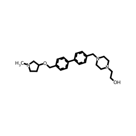 CN1CCC(OCc2ccc(-c3ccc(CN4CCN(CCO)CC4)cc3)cc2)C1